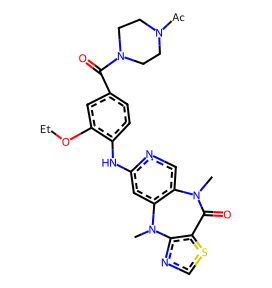 CCOc1cc(C(=O)N2CCN(C(C)=O)CC2)ccc1Nc1cc2c(cn1)N(C)C(=O)c1scnc1N2C